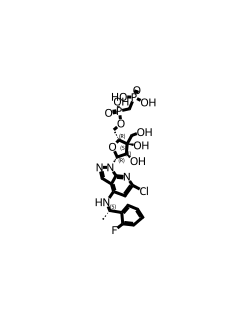 C[C@H](Nc1cc(Cl)nc2c1cnn2[C@@H]1O[C@H](COP(=O)(O)CP(=O)(O)O)[C@](O)(CO)[C@H]1O)c1ccccc1F